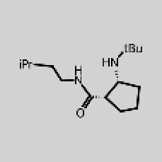 CC(C)CCNC(=O)[C@H]1CCC[C@H]1NC(C)(C)C